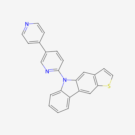 c1ccc2c(c1)c1cc3sccc3cc1n2-c1ccc(-c2ccncc2)cn1